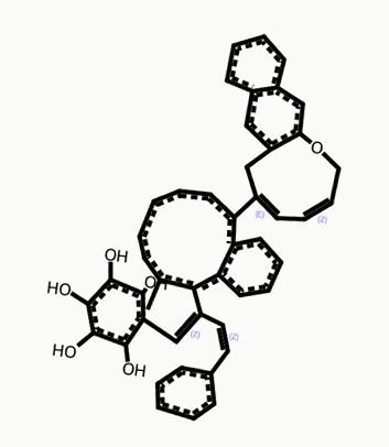 Cc1cccccc(/C2=C/C=C\COc3cc4ccccc4cc3C2)c2ccccc2c1C(/C=C\c1ccccc1)=C\c1c(O)c(O)c(O)c(O)c1O